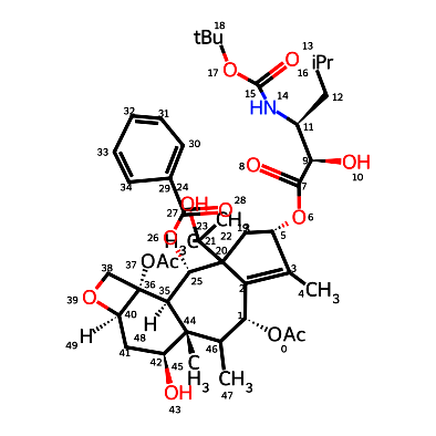 CC(=O)O[C@H]1C2=C(C)[C@@H](OC(=O)[C@H](O)[C@H](CC(C)C)NC(=O)OC(C)(C)C)CC2(C(C)(C)O)[C@@H](OC(=O)c2ccccc2)[C@@H]2[C@]3(OC(C)=O)CO[C@@H]3C[C@H](O)[C@@]2(C)C1C